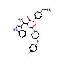 CC(c1c[nH]c2ccccc12)C(NC(=O)N1CCC(Oc2ccc(F)cc2)CC1)C(=O)Nc1ccc(CN)cc1